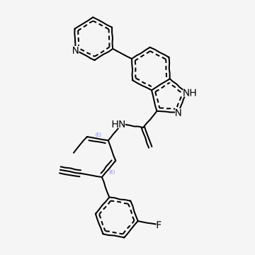 C#C/C(=C\C(=C/C)NC(=C)c1n[nH]c2ccc(-c3cccnc3)cc12)c1cccc(F)c1